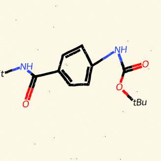 CCNC(=O)c1ccc(NC(=O)OC(C)(C)C)cc1